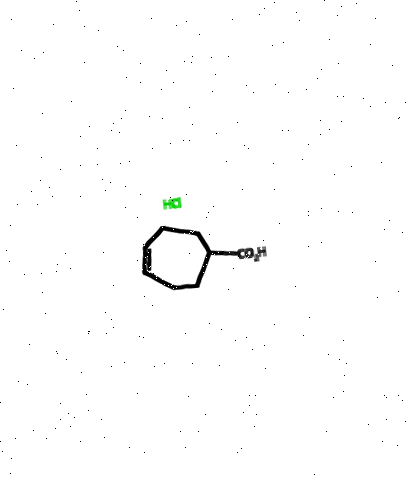 Cl.O=C(O)C1CCC=CCC1